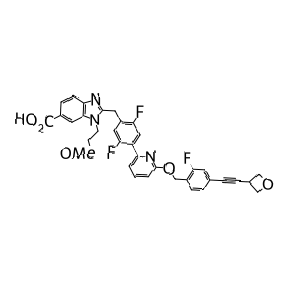 COCCn1c(Cc2cc(F)c(-c3cccc(OCc4ccc(C#CC5COC5)cc4F)n3)cc2F)nc2ccc(C(=O)O)cc21